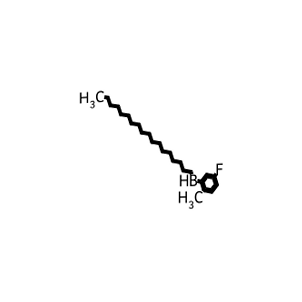 CCCCCCCCCCCCCCCCCCBc1cc(F)ccc1C